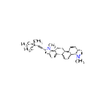 Cn1ccc2ccc3c4ccc5c(ccc6cc(C#C[Si](C)(C)C)n(C)c65)c4ccc3c21